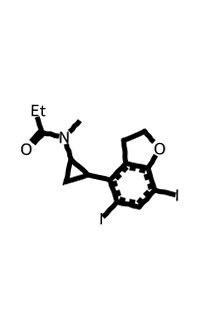 CCC(=O)N(C)C1CC1c1c(I)cc(I)c2c1CCO2